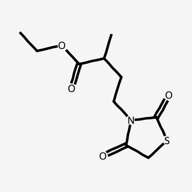 CCOC(=O)C(C)CCN1C(=O)CSC1=O